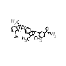 Cc1c(C)n(Cc2cccc(C(N)=O)c2)c2ccc(C(=O)NC(C)c3cccc(C4CC4)c3)cc12